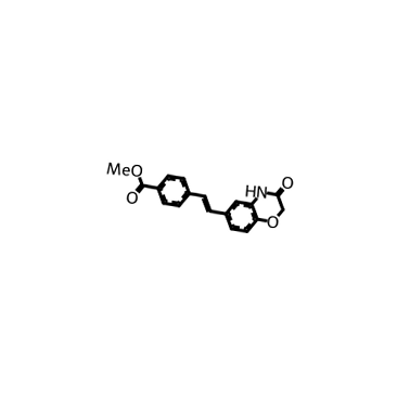 COC(=O)c1ccc(C=Cc2ccc3c(c2)NC(=O)CO3)cc1